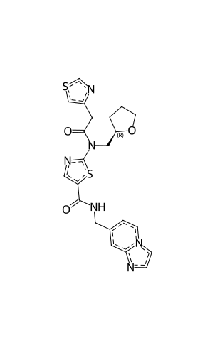 O=C(NCc1ccn2ccnc2c1)c1cnc(N(C[C@H]2CCCO2)C(=O)Cc2cscn2)s1